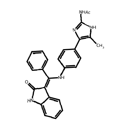 CC(=O)Nc1nc(-c2ccc(NC(=C3C(=O)Nc4ccccc43)c3ccccc3)cc2)c(C)[nH]1